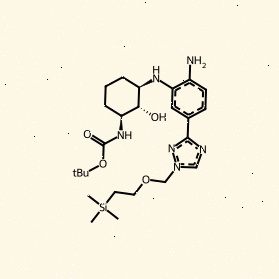 CC(C)(C)OC(=O)N[C@H]1CCC[C@@H](Nc2cc(-c3ncn(COCC[Si](C)(C)C)n3)ccc2N)[C@@H]1O